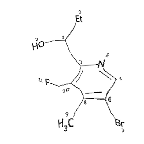 CCC(O)c1ncc(Br)c(C)c1F